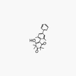 Cc1cc(-c2ccccc2)cc(C)c1C1=C(O)C(C)(C)C(=O)C(C)(C)C1=O